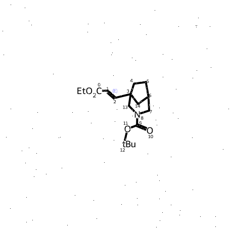 CCOC(=O)/C=C/C12CCC(CN(C(=O)OC(C)(C)C)C1)C2